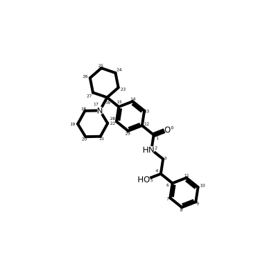 O=C(NCC(O)c1ccccc1)c1ccc(C2(N3CCCCC3)CCCCC2)cc1